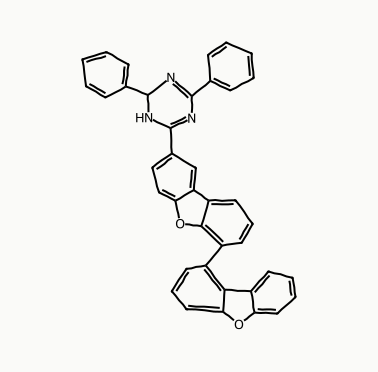 c1ccc(C2=NC(c3ccccc3)NC(c3ccc4oc5c(-c6cccc7oc8ccccc8c67)cccc5c4c3)=N2)cc1